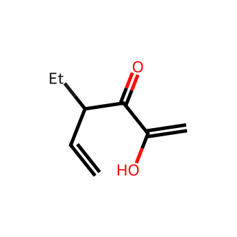 C=CC(CC)C(=O)C(=C)O